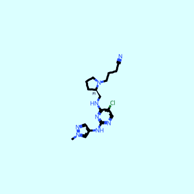 Cn1cc(Nc2ncc(Cl)c(NC[C@H]3CCCN3CCCC#N)n2)cn1